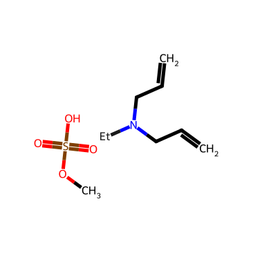 C=CCN(CC)CC=C.COS(=O)(=O)O